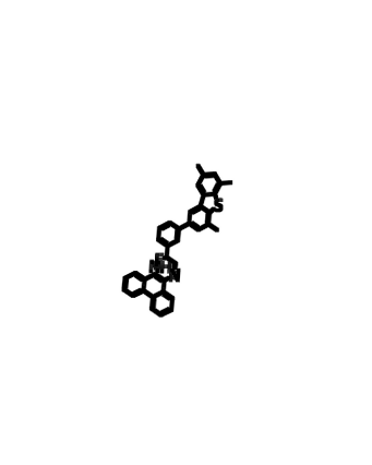 Cc1cc(C)c2sc3c(C)cc(-c4cccc(C(F)/C=N\c5c(N)c6ccccc6c6ccccc56)c4)cc3c2c1